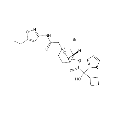 CCc1cc(NC(=O)C[N+]23CCC(CC2)[C@@H](OC(=O)C(O)(c2cccs2)C2CCC2)C3)no1.[Br-]